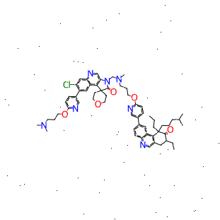 CCCC1(CCCC(C)C)C(=O)C(CC)Cc2cnc3ccc(-c4ccc(OCCCN(C)CN5C(=O)C6(CCOCC6)c6c5cnc5cc(Cl)c(-c7ccc(OCCCN(C)C)nc7)cc65)nc4)cc3c21